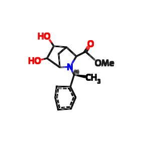 COC(=O)C1C2CC(C(O)C2O)N1[C@@H](C)c1ccccc1